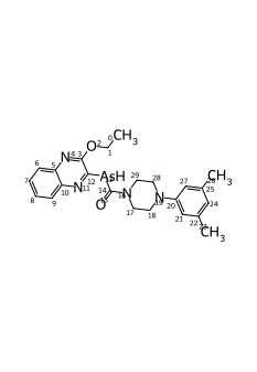 CCOc1nc2ccccc2nc1[AsH]C(=O)N1CCN(c2cc(C)cc(C)c2)CC1